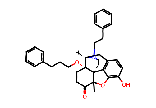 CC12Oc3c(O)ccc4c3[C@@]13CCN(CCc1ccccc1)[C@H](C4)[C@]3(OCCCc1ccccc1)CCC2=O